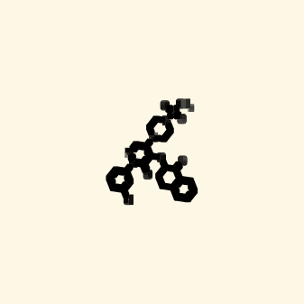 CS(=O)(=O)N1CCN(c2cnn(-c3cccc(Cl)c3)c(=O)c2OC2CCc3ccccc3C2=O)CC1